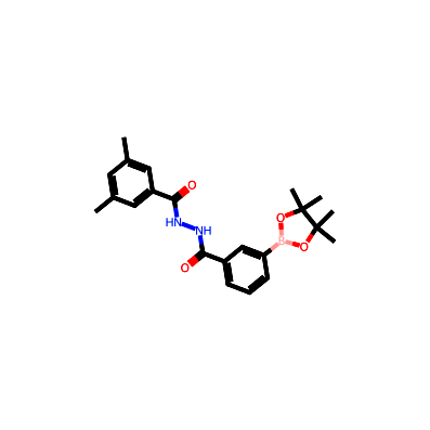 Cc1cc(C)cc(C(=O)NNC(=O)c2cccc(B3OC(C)(C)C(C)(C)O3)c2)c1